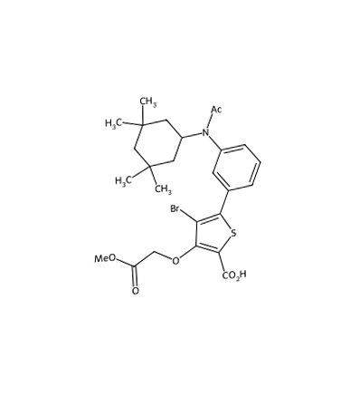 COC(=O)COc1c(C(=O)O)sc(-c2cccc(N(C(C)=O)C3CC(C)(C)CC(C)(C)C3)c2)c1Br